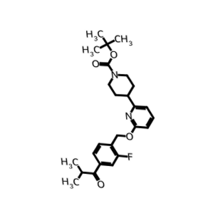 CC(C)C(=O)c1ccc(COc2cccc(C3CCN(C(=O)OC(C)(C)C)CC3)n2)c(F)c1